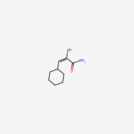 CCCC(=CC1CCCCC1)C(N)=O